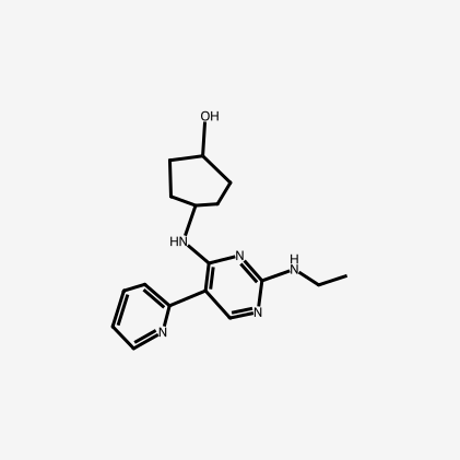 CCNc1ncc(-c2ccccn2)c(NC2CCC(O)CC2)n1